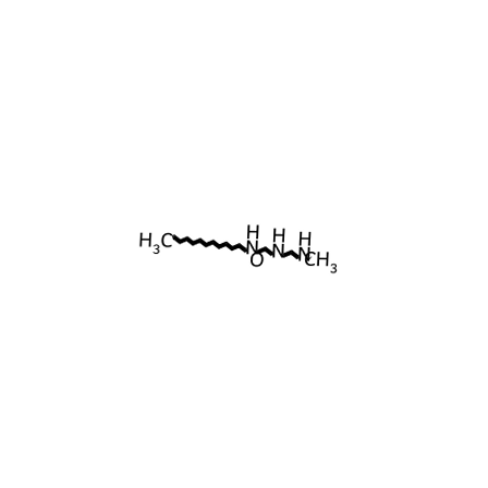 CCCCCCCCCCCCCNC(=O)CCNCCCNC